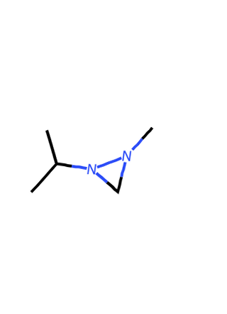 CC(C)N1CN1C